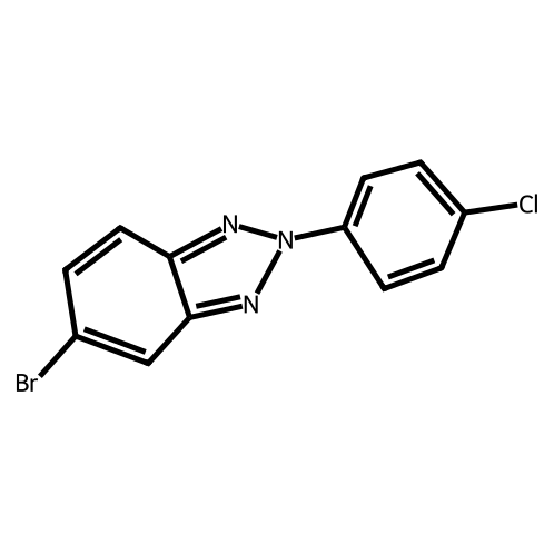 Clc1ccc(-n2nc3ccc(Br)cc3n2)cc1